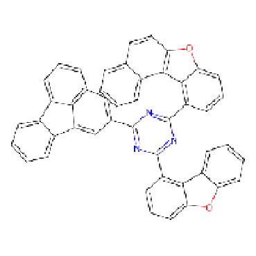 c1ccc2c(c1)-c1cccc3cc(-c4nc(-c5cccc6oc7ccccc7c56)nc(-c5cccc6oc7ccc8ccccc8c7c56)n4)cc-2c13